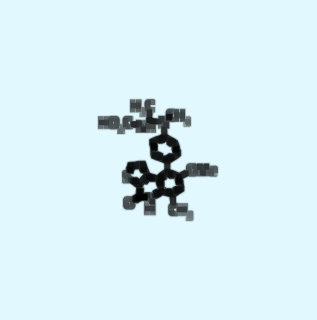 COc1cc(C)c2[nH]c(=O)c3sccc3c2c1-c1ccc(N(C)C(C)NC(=O)O)cc1